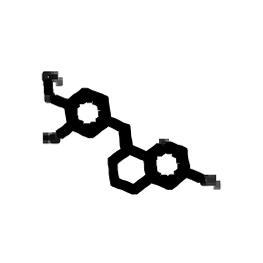 COc1ccc(C=C2CCCc3cc(C)cnc32)cc1O